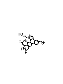 CN(C)Cc1ccc(C2CC3=C4C(=CC(=O)CN=C4C2c2ncnn2CCCO)N(F)NC3)cc1